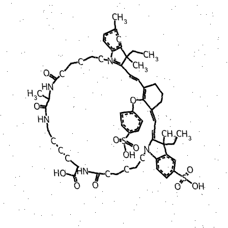 CCC1(C)C2=[N+](CCCCCC(=O)NC(C)C(=O)NCCCCC(C(=O)O)NC(=O)CCCCCN3/C(=C/C=C4\CCCC(=C4Oc4ccc(S(=O)(=O)O)cc4)/C=C/2)C(C)(CC)c2cc(S(=O)(=O)O)ccc23)c2ccc(C)cc21